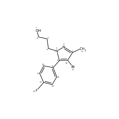 Cc1nn(CCCO)c(-c2ccc(F)cc2)c1Br